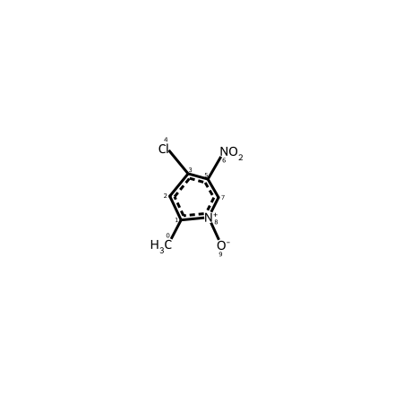 Cc1cc(Cl)c([N+](=O)[O-])c[n+]1[O-]